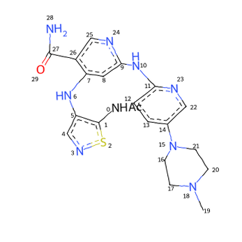 CC(=O)Nc1sncc1Nc1cc(Nc2ccc(N3CCN(C)CC3)cn2)ncc1C(N)=O